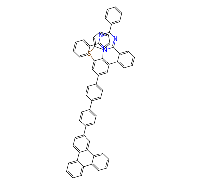 c1ccc(-c2nc(-c3ccccc3)nc(-c3ccccc3-c3cc(-c4ccc(-c5ccc(-c6ccc7c8ccccc8c8ccccc8c7c6)cc5)cc4)cc4sc5ccccc5c34)n2)cc1